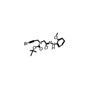 COc1ccccc1N/N=C(\Cl)CN(CC#CBr)C(=O)OC(C)(C)C